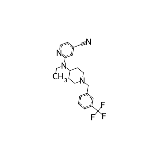 CCN(c1cc(C#N)ccn1)C1CCN(Cc2cccc(C(F)(F)F)c2)CC1